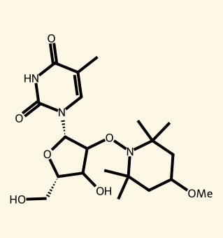 COC1CC(C)(C)N(OC2C(O)[C@H](CO)O[C@@H]2n2cc(C)c(=O)[nH]c2=O)C(C)(C)C1